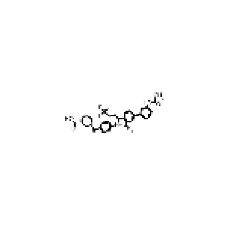 CC(=O)Nc1cccc(-c2ccc(C(CCC(F)(F)F)Nc3ccc(C(=O)N4CCC[C@@H](C(=O)O)C4)cc3)c(C)c2)c1